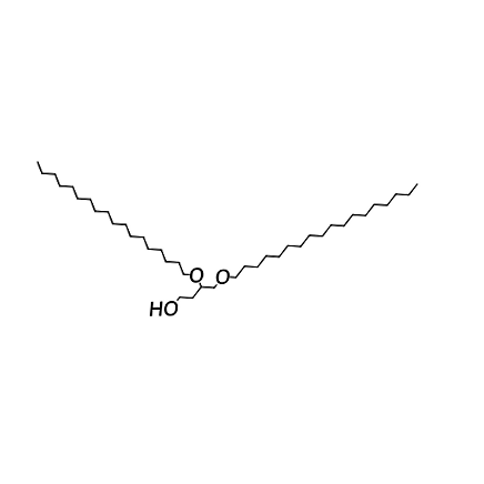 CCCCCCCCCCCCCCCCCCOCC(CCO)OCCCCCCCCCCCCCCCCCC